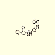 COCc1cc(-c2nc(-c3ccc(C(C)N(C)CC(=O)OC(C)(C)C)cc3)no2)ccc1-c1ccccc1C